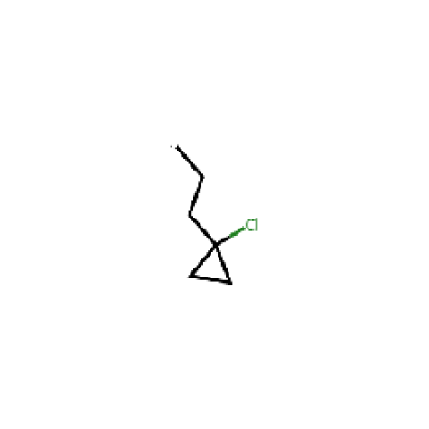 [CH2]CCC1(Cl)CC1